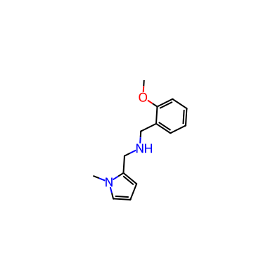 COc1ccccc1CNCc1cccn1C